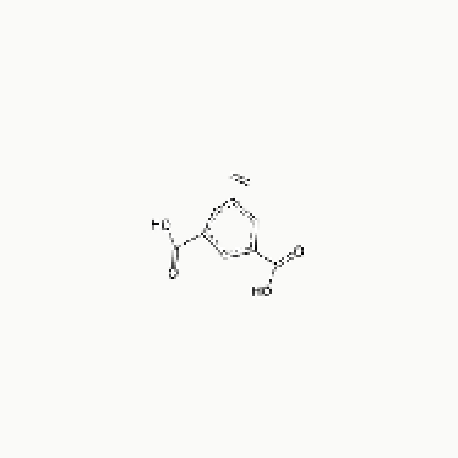 C=C.O=C(O)c1cccc(C(=O)O)c1